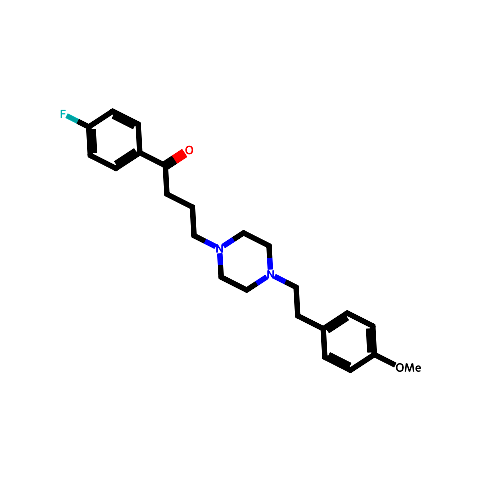 COc1ccc(CCN2CCN(CCCC(=O)c3ccc(F)cc3)CC2)cc1